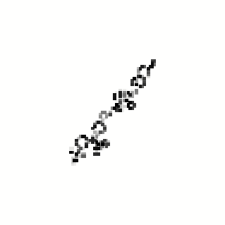 O=C(NCCOc1ccc(N(c2cccc(C(F)(F)F)c2)[N+](=O)[O-])cc1)C(=O)NCC1Cc2cc(F)ccc2O1